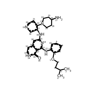 CC(C)CCOc1ccccc1Nc1nc(Nc2cnccc2N2CCC(N)CC2)cc2cc[nH]c(=O)c12